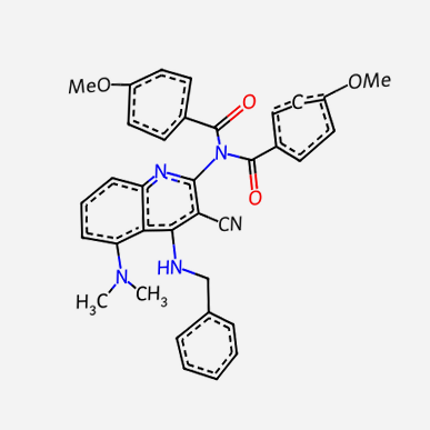 COc1ccc(C(=O)N(C(=O)c2ccc(OC)cc2)c2nc3cccc(N(C)C)c3c(NCc3ccccc3)c2C#N)cc1